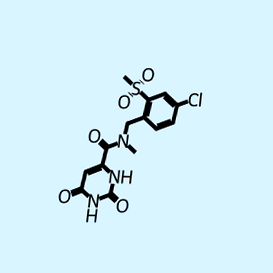 CN(Cc1ccc(Cl)cc1S(C)(=O)=O)C(=O)c1cc(=O)[nH]c(=O)[nH]1